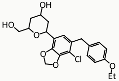 CCOc1ccc(Cc2cc(C3CC(O)CC(CO)O3)c3c(c2Cl)OCO3)cc1